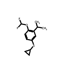 CC(C)c1cc(SC2CC2)ccc1OC(F)F